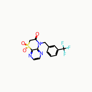 O=C1CS(=O)(=O)c2nccnc2N1Cc1cccc(C(F)(F)F)c1